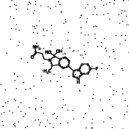 CC1c2cc(-c3c[nH]c4cc(F)ccc34)ccc2S(O)(O)N1CCC(N)=O